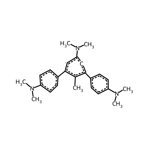 Cc1c(-c2ccc(N(C)C)cc2)[c]c(N(C)C)cc1-c1ccc(N(C)C)cc1